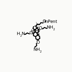 CCCCCOCCC[C@@H](C)[C@H]1CC[C@H]2C3[C@H](OCCCN)CC4C[C@H](OCCCN)CCC4(C)[C@H]3C[C@H](OCCCN)C12C